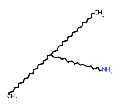 CCCCCCCCCCCCCCCCCCC(CCCCCCCCCCCCCCCN)CCCCCCCCCCCCCCCCCC